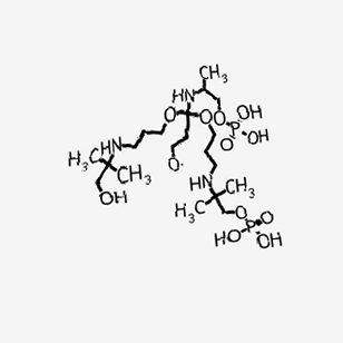 CC(COP(=O)(O)O)NC(CC[O])(OCCCNC(C)(C)CO)OCCCNC(C)(C)COP(=O)(O)O